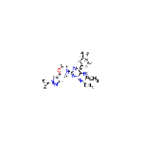 Cc1nc2nc(N3CCO[C@@H](c4cnn(C5CC5)c4)C3)nc(-c3ccc4c(c3)CC4)c2nc1C